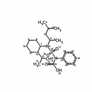 CC(C)CC(C)N(C1CCCCC1C(C)C)S(=O)(=O)N(C(=O)O)c1ccccc1